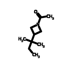 CCC(C)(C)C1CN(C(C)=O)C1